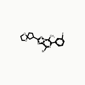 Cc1c(-c2cccc(F)c2)nc(Br)c2nc(C3CCC4(C3)OCCO4)nn12